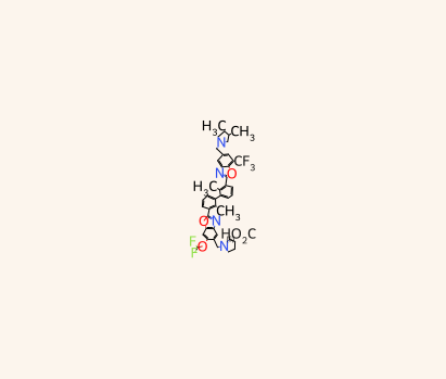 Cc1c(-c2nc3cc(CN4CCC[C@H]4C(=O)O)c(OC(F)F)cc3o2)cccc1-c1cccc(-c2nc3cc(CN4CC(C)C(C)C4)cc(C(F)(F)F)c3o2)c1C